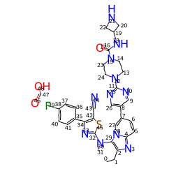 CCc1nc2ccc(-c3cnc(N4CCN(C(=O)NC5CNC5)CC4)nc3)cn2c1N(C)c1nc(-c2ccc(F)cc2)c(C#N)s1.O=CO